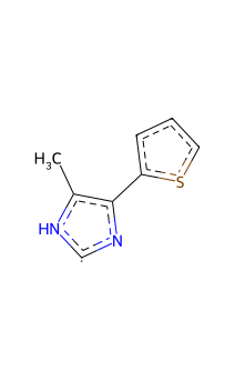 Cc1[nH][c]nc1-c1cccs1